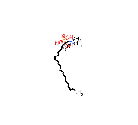 CC/C=C\CCCCCCCCC/C=C\CCCCC(O)(C[N+](C)(C)C)P(=O)(O)O